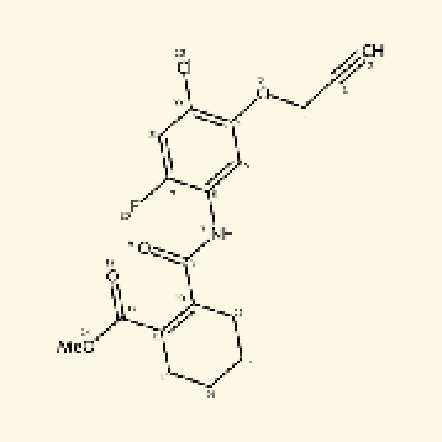 C#CCOc1cc(NC(=O)C2=C(C(=O)OC)CCCC2)c(F)cc1Cl